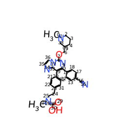 CN1CCC[C@@H](COc2nc(-c3ccc(C#N)cc3)c(-c3ccc(CCN(C)C(=O)O)cc3)c3nccn23)C1